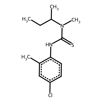 CCC(C)N(C)C(=S)Nc1ccc(Cl)cc1C